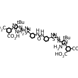 CC(C)(C)c1nn(-c2cc(C(=O)O)cc(C(=O)O)c2)c(N)c1N=Nc1nnc(-c2cccc(NC(=O)Nc3cccc(-c4nnc(N=Nc5c(C(C)(C)C)nn(-c6cc(C(=O)O)cc(C(=O)O)c6)c5N)s4)c3)c2)s1